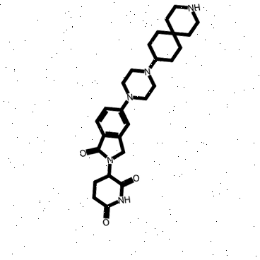 O=C1CCC(N2Cc3cc(N4CCN(C5CCC6(CCNCC6)CC5)CC4)ccc3C2=O)C(=O)N1